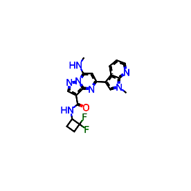 CNc1cc(-c2cn(C)c3ncccc23)nc2c(C(=O)NC3CCC3(F)F)cnn12